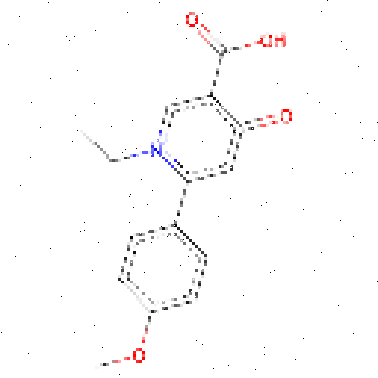 CCn1cc(C(=O)O)c(=O)cc1-c1ccc(OC)cc1